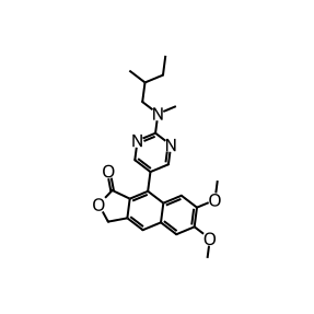 CCC(C)CN(C)c1ncc(-c2c3c(cc4cc(OC)c(OC)cc24)COC3=O)cn1